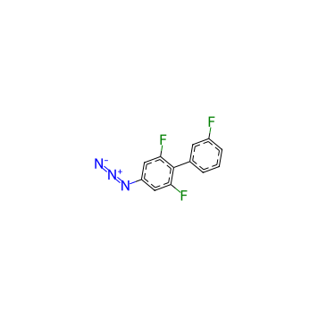 [N-]=[N+]=Nc1cc(F)c(-c2cccc(F)c2)c(F)c1